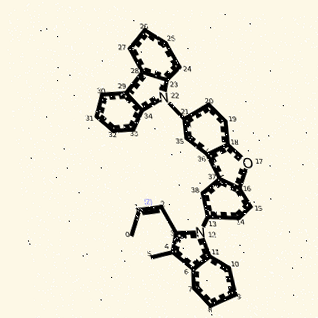 C/C=C\c1c(C)c2ccccc2n1-c1ccc2oc3ccc(-n4c5ccccc5c5ccccc54)cc3c2c1